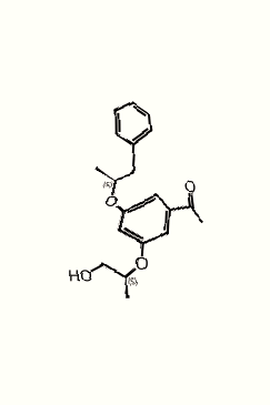 CC(=O)c1cc(O[C@@H](C)CO)cc(O[C@@H](C)Cc2ccccc2)c1